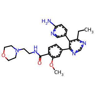 CCc1ncnc(-c2ccc(C(=O)NCCN3CCOCC3)c(OC)c2)c1-c1ccc(N)nc1